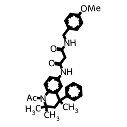 COc1ccc(CNC(=O)CC(=O)Nc2ccc3c(c2)C(C)(c2ccccc2)CC(C)(C)N3C(C)=O)cc1